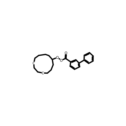 O=C(OO[C]1CCCCCCCCCCC1)c1cccc(-c2ccccc2)c1